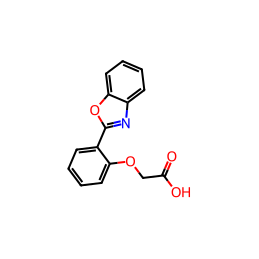 O=C(O)COc1ccccc1-c1nc2ccccc2o1